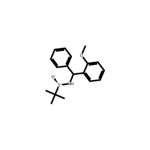 COc1ccccc1C(N[S@+]([O-])C(C)(C)C)c1ccccc1